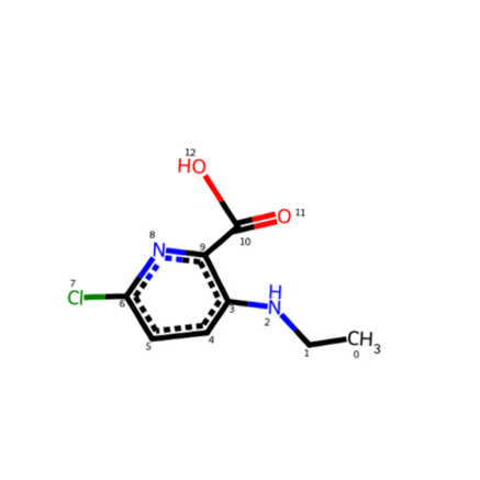 CCNc1ccc(Cl)nc1C(=O)O